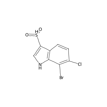 O=[SH](=O)c1c[nH]c2c(Br)c(Cl)ccc12